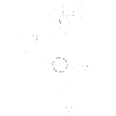 COCCCOc1cc(C[C@@H](C[C@H](N)[C@@H](O)C[C@H](C(=O)NC2(F)CCCC2)C(C)C)C(C)C)ccc1OC